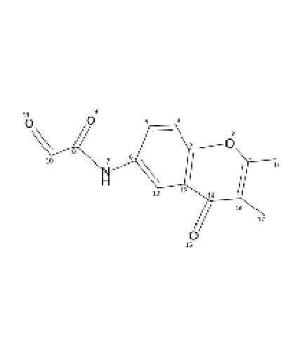 Cc1oc2ccc(NC(=O)C=O)cc2c(=O)c1C